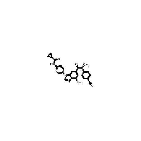 Cc1cc(C(=O)N(C)c2ccc(C#N)cc2)cc2c1ncn2-c1ccc(NC(=O)C2CC2)nc1